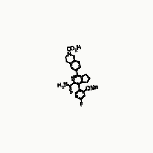 COc1cc(F)ccc1-c1c(C(N)=S)nc(-c2ccc3c(c2)CCN(C(=O)O)C3)c2c1CCC2